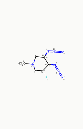 [N-]=[N+]=N[C@H]1[C@H](F)CN(C(=O)O)C[C@H]1N=[N+]=[N-]